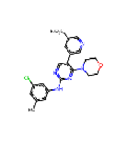 CCOC(=O)c1cncc(-c2cnc(Nc3cc(Cl)cc(C#N)c3)nc2N2CCOCC2)c1